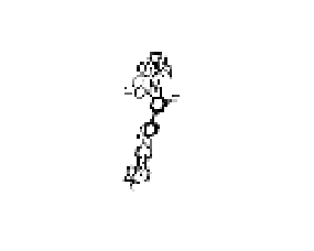 CC(C)(C)OC(=O)N1CCN(c2ccc(-c3cc(F)c4c(c3)C(O)N(C(C(=O)O)c3ncn5c3CCC5)C4)cn2)CC1